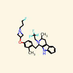 Cc1cc(OC2CN(CCCF)C2)ccc1CC1c2[nH]c3ccccc3c2CC(C)N1CC(F)(F)F